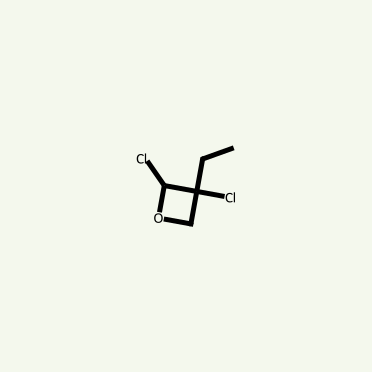 CCC1(Cl)COC1Cl